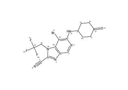 N#Cc1nc2cnc(NC3CCC(=O)CC3)c(Br)c2n1CC(F)(F)F